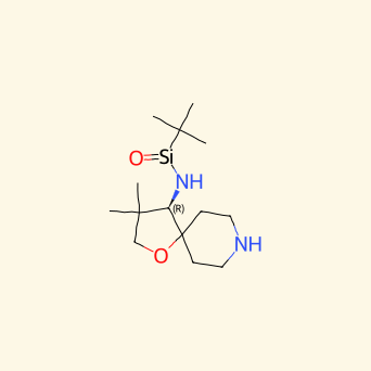 CC1(C)COC2(CCNCC2)[C@@H]1N[Si](=O)C(C)(C)C